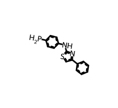 Pc1ccc(Nc2nc(-c3ccccc3)cs2)cc1